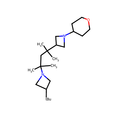 CC(C)(C)C1CN(C(C)(C)CC(C)(C)C2CN(C3CCOCC3)C2)C1